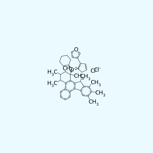 Cc1cc2c(c(C)c1C)C(C)c1c3c(c4ccccc4c1-2)C(C)C(C)C(C)[C]3(C)[Zr+2]([C]1=C(c2ccoc2)C=CC1)=[C]1CCCCC1.[Cl-].[Cl-]